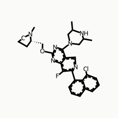 CC1CN(c2nc(OC[C@@H]3CCCN3C)nc3c(F)c(-c4cccc5cccc(Cl)c45)ncc23)CC(C)N1